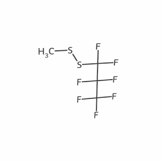 CSSC(F)(F)C(F)(F)C(F)(F)F